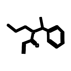 C=CC(=O)N(CCC)C(C)c1ccccc1